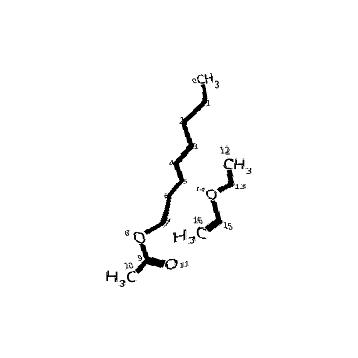 CCCCCCCCOC(C)=O.CCOCC